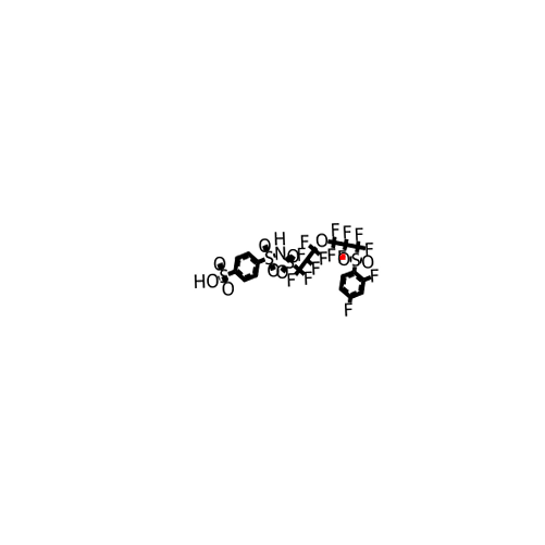 O=S(=O)(O)c1ccc(S(=O)(=O)NS(=O)(=O)C(F)(F)C(F)(F)C(F)(F)OC(F)(F)C(F)(F)C(F)(F)S(=O)(=O)c2ccc(F)cc2F)cc1